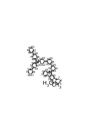 CC1(C)c2ccccc2-c2cc3c(cc21)c1ccccc1n3-c1cccc(-c2cccc(-c3ccc(N(c4ccc(-c5ccccc5)cc4)c4ccc(-c5ccccc5)cc4)cc3)c2)c1